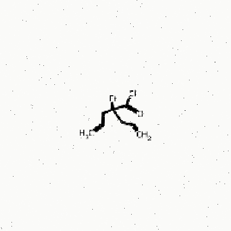 C=CCC(CC)(CC=C)C(=O)Cl